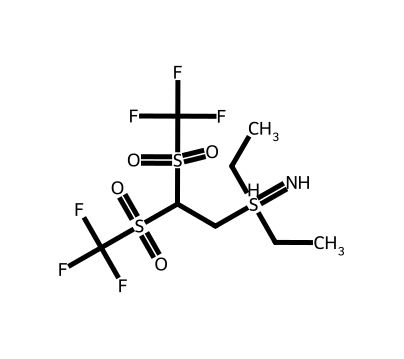 CC[SH](=N)(CC)CC(S(=O)(=O)C(F)(F)F)S(=O)(=O)C(F)(F)F